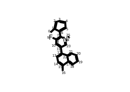 Cc1ccccc1-c1c(F)cc(-c2ccc(C)c3ccccc23)c[n+]1C